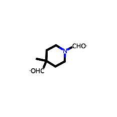 CC1([C]=O)CCN([C]=O)CC1